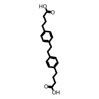 O=C(O)CCCc1ccc(CCc2ccc(CCCC(=O)O)cc2)cc1